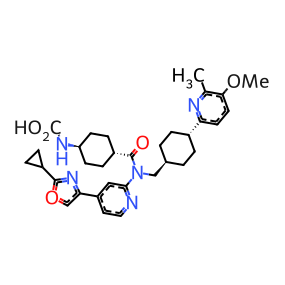 COc1ccc([C@H]2CC[C@H](CN(c3cc(-c4coc(C5CC5)n4)ccn3)C(=O)[C@H]3CC[C@H](NC(=O)O)CC3)CC2)nc1C